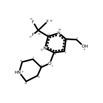 OCc1cc(OC2CCNCC2)nc(C(F)(F)F)n1